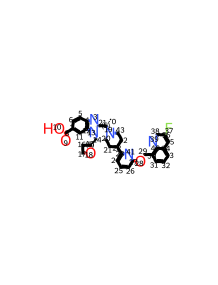 C[C@@H](c1nc2ccc(C(=O)O)cc2n1C[C@@H]1CCO1)N1CCC(c2cccc(OCc3cccc4cc(F)cnc34)n2)CC1